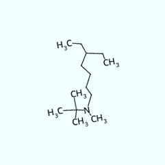 CCC(CC)CCCCN(C)C(C)(C)C